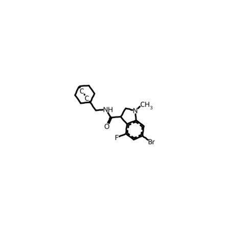 CN1CC(C(=O)NCC23CCC(CC2)CC3)c2c(F)cc(Br)cc21